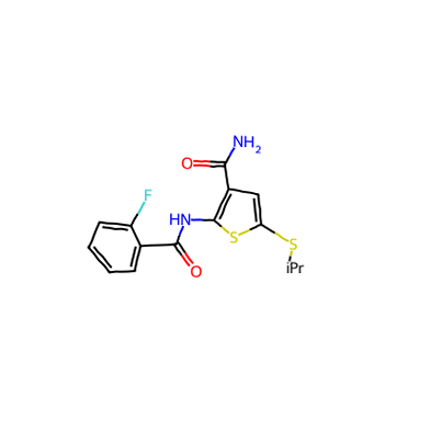 CC(C)Sc1cc(C(N)=O)c(NC(=O)c2ccccc2F)s1